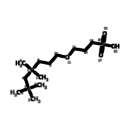 C[Si](C)(C)C[Si](C)(C)CCCOCCCS(=O)(=O)O